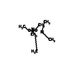 CCCCCCCCCCCCCCCCC#CC1=C(c2cccc(CCCCC)c2)[N+](=[N-])C(c2ccc(CCCCC)cc2)=C1CC.CCCCCCCCC[CH2][Ni][CH2]CCCCCCCCC